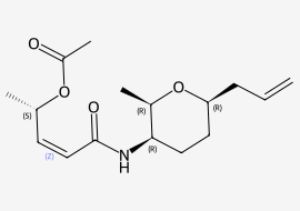 C=CC[C@H]1CC[C@@H](NC(=O)/C=C\[C@H](C)OC(C)=O)[C@@H](C)O1